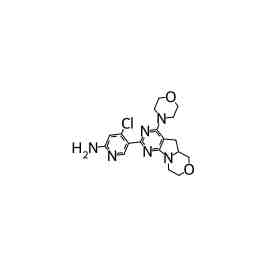 Nc1cc(Cl)c(-c2nc(N3CCOCC3)c3c(n2)N2CCOCC2C3)cn1